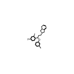 Fc1ccc(C(CCN2CC3=CC=CCC3C2)Oc2cccc(I)c2)c(I)c1